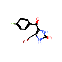 O=C(c1ccc(F)cc1)c1[nH]c(=O)[nH]c1CBr